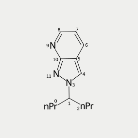 CCCC(CCC)n1cc2cccnc2n1